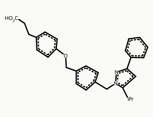 CC(C)c1cc(-c2ccccc2)nn1Cc1ccc(COc2ccc(CCC(=O)O)cc2)cc1